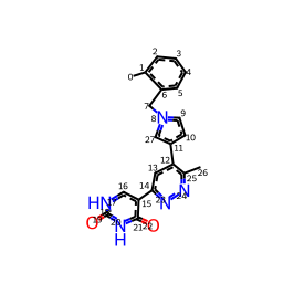 Cc1ccccc1Cn1ccc(-c2cc(-c3c[nH]c(=O)[nH]c3=O)nnc2C)c1